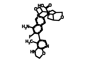 Cc1c(-c2cc3cc(N(C(=O)O)C4C5COCC4CN(C4COC4)C5)ncc3c(N)c2F)cnc2c1NCCO2